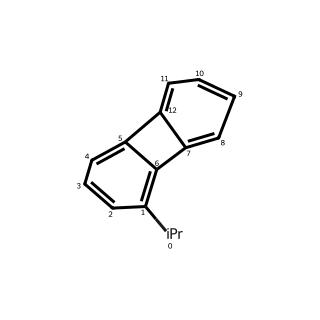 CC(C)c1cccc2c1-c1ccccc1-2